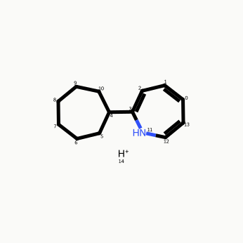 C1=CC=C(C2CCCCCC2)NC=C1.[H+]